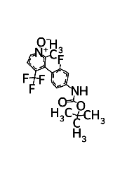 Cc1c(-c2ccc(NC(=O)OC(C)(C)C)cc2F)c(C(F)(F)F)cc[n+]1[O-]